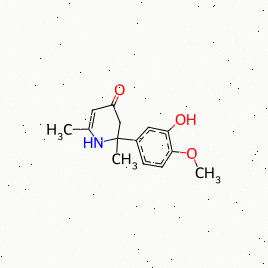 COc1ccc(C2(C)CC(=O)C=C(C)N2)cc1O